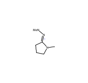 CN/N=C1\CCCN1C